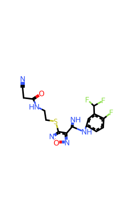 N#CCC(=O)NCCSc1nonc1C(=N)Nc1ccc(F)c(C(F)F)c1